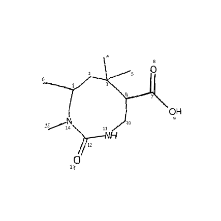 CC1CC(C)(C)C(C(=O)O)CNC(=O)N1C